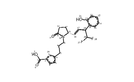 O=C(O)c1ccc(CCCN2C(=O)CC[C@@H]2/C=C/C(c2ccccc2O)C(F)F)s1